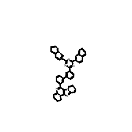 c1cc(-c2cccc(-c3nc4ccccc4c4nc5ccccn5c34)c2)cc(-c2nc(-c3ccc4ccccc4c3)nc(-c3ccc4ccccc4c3)n2)c1